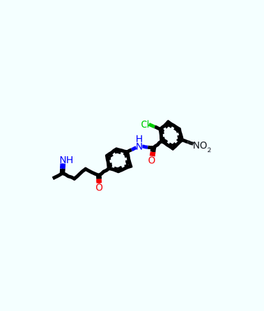 CC(=N)CCC(=O)c1ccc(NC(=O)c2cc([N+](=O)[O-])ccc2Cl)cc1